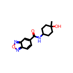 CC1(O)CCC(NC(=O)c2ccc3nonc3c2)CC1